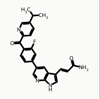 CC(C)c1ccc(C(=O)c2ccc(-c3cnc4[nH]cc(C=CC(N)=O)c4c3)cc2F)nc1